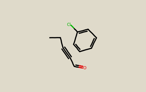 CCC#CC=O.Clc1ccccc1